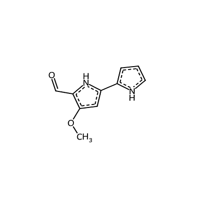 COc1cc(-c2ccc[nH]2)[nH]c1C=O